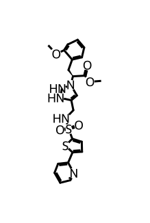 COC(=O)[C@H](Cc1ccccc1OC)N1C=C(CNS(=O)(=O)c2ccc(-c3ccccn3)s2)NN1